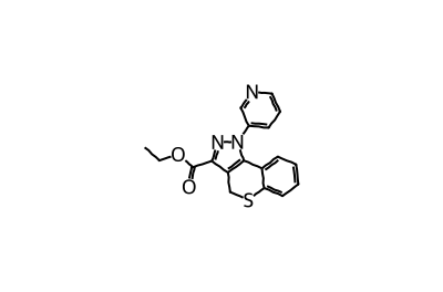 CCOC(=O)c1nn(-c2cccnc2)c2c1CSc1ccccc1-2